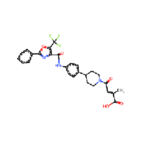 C/C(=C\C(=O)N1CCC(c2ccc(NC(=O)c3nc(-c4ccccc4)oc3C(F)(F)F)cc2)CC1)C(=O)O